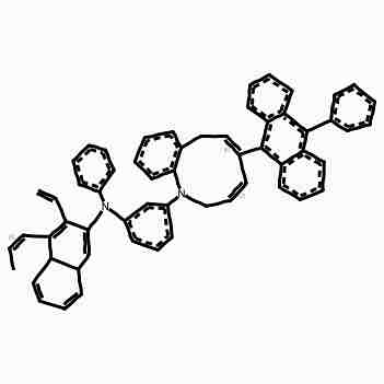 C=CC1=C(/C=C\C)C2C=CC=CC2C=C1N(c1ccccc1)c1cccc(N2C/C=C\C(c3c4ccccc4c(-c4ccccc4)c4ccccc34)=C/Cc3ccccc32)c1